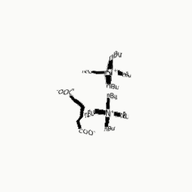 CCCC[N+](CCCC)(CCCC)CCCC.CCCC[N+](CCCC)(CCCC)CCCC.O=C([O-])CCC(=O)[O-]